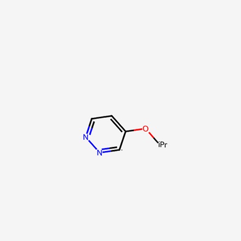 CC(C)Oc1[c]nncc1